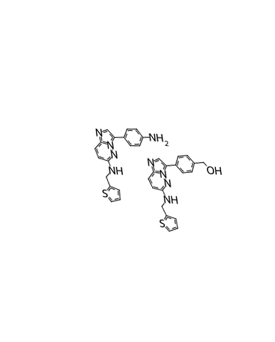 Nc1ccc(-c2cnc3ccc(NCc4cccs4)nn23)cc1.OCc1ccc(-c2cnc3ccc(NCc4cccs4)nn23)cc1